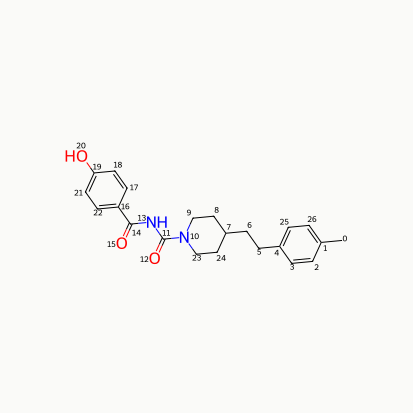 Cc1ccc(CCC2CCN(C(=O)NC(=O)c3ccc(O)cc3)CC2)cc1